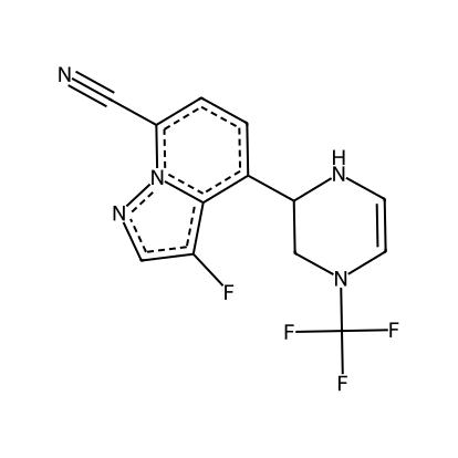 N#Cc1ccc(C2CN(C(F)(F)F)C=CN2)c2c(F)cnn12